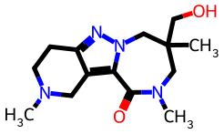 CN1CCc2nn3c(c2C1)C(=O)N(C)CC(C)(CO)C3